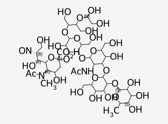 CC(=O)NC1C(OC2C(CO)OC(OC(CO)C(CO)O[C@@H](O)CO)C(O)C2O[C@]2(C(=O)O)CC(O)[C@@H](N(C)C(C)=O)C([C@H](O)[C@@H](CO)N=O)O2)OC(CO)C(O)C1OC1OC(CO)C(O)C(O)C1O[C@@H]1OC(C)[C@@H](O)C(O)C1O